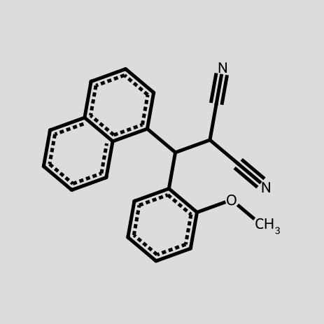 COc1ccccc1C(c1cccc2ccccc12)C(C#N)C#N